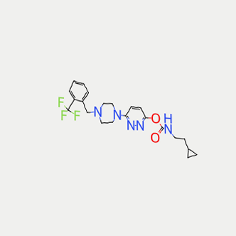 O=C(NCCC1CC1)Oc1ccc(N2CCN(Cc3ccccc3C(F)(F)F)CC2)nn1